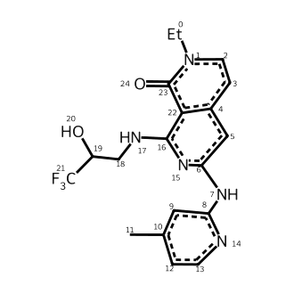 CCn1ccc2cc(Nc3cc(C)ccn3)nc(NCC(O)C(F)(F)F)c2c1=O